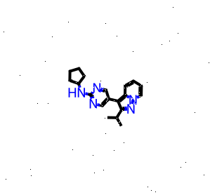 CC(C)c1nn2ccccc2c1-c1cnc(NC2CCCC2)nc1